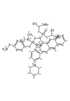 CCCCC(CC)CP(=O)(CC(CC)CCCC)C(CC(Cc1ccc(CN)cc1)(C(=O)c1ccc(N2CCOCC2)cc1)N(C)C)c1cccc2nc3ccccc3cc12